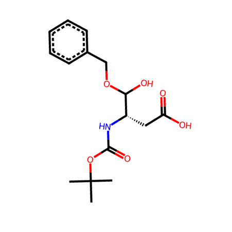 CC(C)(C)OC(=O)N[C@@H](CC(=O)O)C(O)OCc1ccccc1